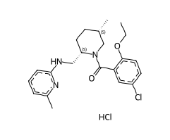 CCOc1ccc(Cl)cc1C(=O)N1C[C@@H](C)CC[C@H]1CNc1cccc(C)n1.Cl